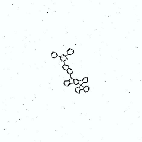 c1ccc(-c2nc(-c3ccccc3)nc(-c3ccc4cc(-n5c6ccccc6c6cc7c(cc65)-c5ccccc5C75c6ccccc6-c6ccccc65)ccc4c3)n2)cc1